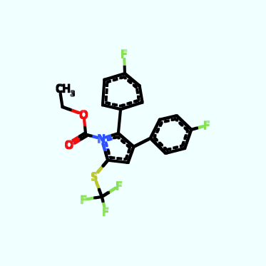 CCOC(=O)n1c(SC(F)(F)F)cc(-c2ccc(F)cc2)c1-c1ccc(F)cc1